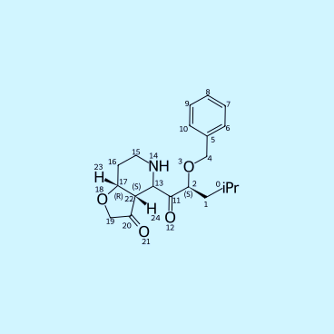 CC(C)C[C@H](OCc1ccccc1)C(=O)C1NCC[C@H]2OCC(=O)[C@@H]12